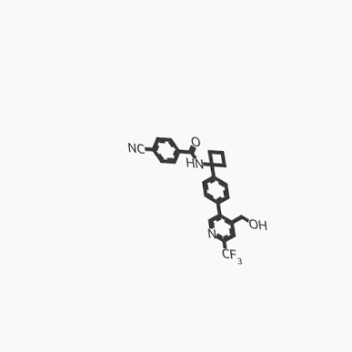 N#Cc1ccc(C(=O)NC2(c3ccc(-c4cnc(C(F)(F)F)cc4CO)cc3)CCC2)cc1